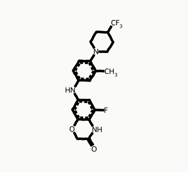 Cc1cc(Nc2cc(F)c3c(c2)OCC(=O)N3)ccc1N1CCC(C(F)(F)F)CC1